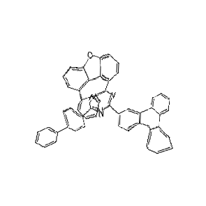 c1ccc(-c2ccc(-c3nc(-c4ccc5c6ccccc6c6ccccc6c5c4)nc(-c4cccc5oc6cccc(-c7ccccc7)c6c45)n3)cc2)cc1